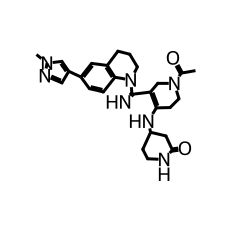 CC(=O)N1CCC(NC2CCNC(=O)C2)=C(C(=N)N2CCCc3cc(-c4cnn(C)c4)ccc32)C1